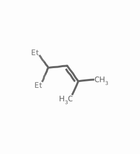 CCC(C=C(C)C)CC